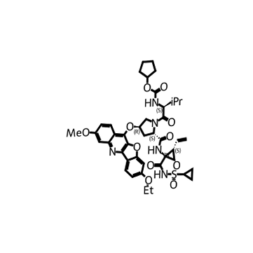 C=C[C@@H]1C[C@]1(NC(=O)[C@@H]1C[C@@H](Oc2c3ccc(OC)cc3nc3c2oc2cc(OCC)ccc23)CN1C(=O)[C@@H](NC(=O)OC1CCCC1)C(C)C)C(=O)NS(=O)(=O)C1CC1